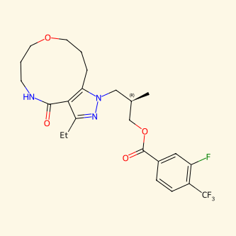 CCc1nn(C[C@@H](C)COC(=O)c2ccc(C(F)(F)F)c(F)c2)c2c1C(=O)NCCCOCCC2